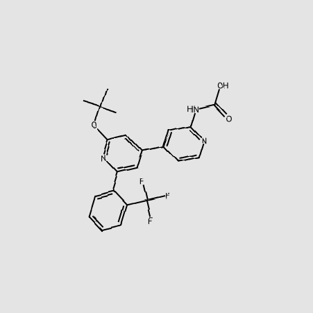 CC(C)(C)Oc1cc(-c2ccnc(NC(=O)O)c2)cc(-c2ccccc2C(F)(F)F)n1